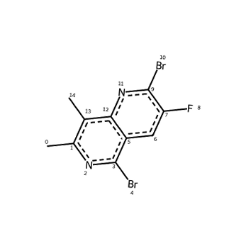 Cc1nc(Br)c2cc(F)c(Br)nc2c1C